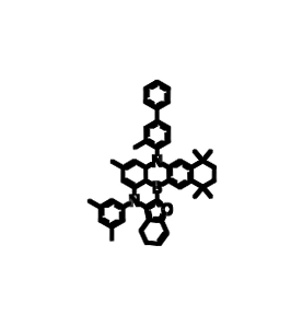 CC1=CC2C3B(c4cc5c(cc4N2c2ccc(-c4ccccc4)cc2C)C(C)(C)CCC5(C)C)c2oc4c(c2N(c2cc(C)cc(C)c2)C3=C1)CCC=C4